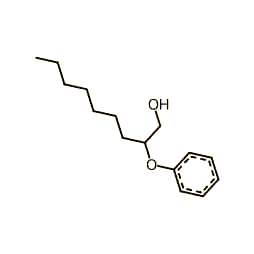 CCCCCCCC(CO)Oc1ccccc1